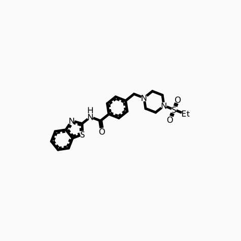 CCS(=O)(=O)N1CCN(Cc2ccc(C(=O)Nc3nc4ccccc4s3)cc2)CC1